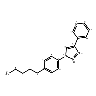 CC(C)(C)CCCCc1ccc(-n2cc(-c3cccnc3)nn2)cc1